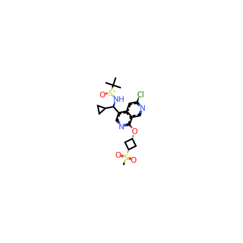 CC(C)(C)[S+]([O-])NC(c1cnc(O[C@H]2C[C@@H](S(C)(=O)=O)C2)c2cnc(Cl)cc12)C1CC1